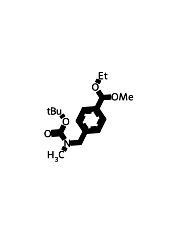 CCOC(OC)c1ccc(CN(C)C(=O)OC(C)(C)C)cc1